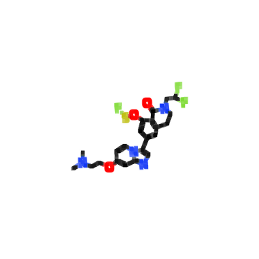 CN(C)CCOc1ccn2c(-c3cc4c(c(OSF)c3)C(=O)N(CC(F)F)CC4)cnc2c1